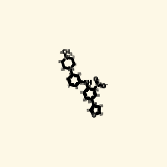 CN1CCN(c2cccc(Nc3ccc(-c4ccoc4)cc3[N+](=O)[O-])c2)CC1